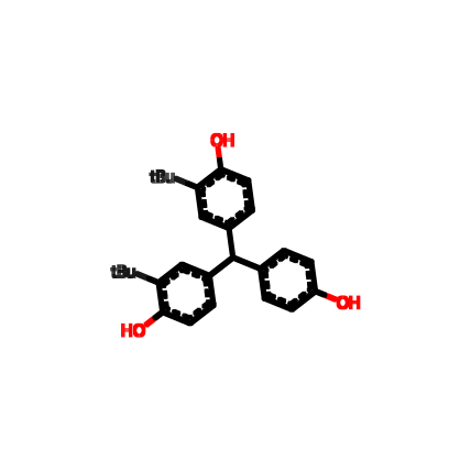 CC(C)(C)c1cc(C(c2ccc(O)cc2)c2ccc(O)c(C(C)(C)C)c2)ccc1O